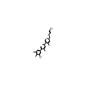 C=C(/C(C)=C\C(C)C(=C/C)/C(C)=C\C(C)CC/C=C/CC)c1cc(C)c(C)c(Cl)c1